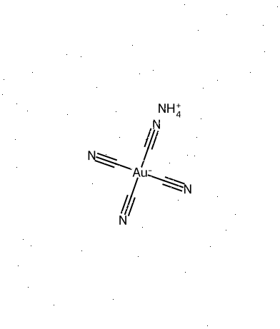 N#[C][Au-]([C]#N)([C]#N)[C]#N.[NH4+]